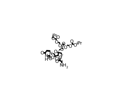 CC(C)OC(=O)OCOP(=O)(OCOC(=O)OC(C)C)OC[C@@]1(CF)O[C@@H](n2ccc(=O)[nH]c2=O)[C@](C)(O)[C@@H]1OC(=O)CN